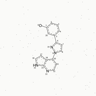 [O]c1cccc(-c2ccn(-c3ccnc4[nH]ccc34)n2)c1